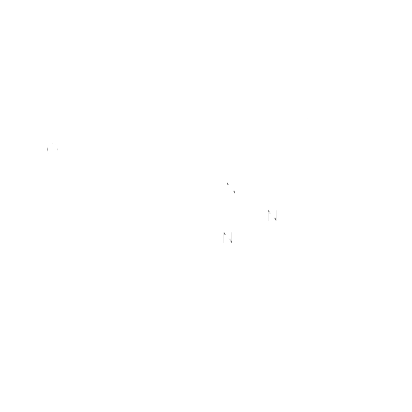 c1ccc(-c2ccc(-c3nc(-c4ccc(-c5cccc6oc7ccccc7c56)cc4)nc(-c4cc5ccccc5c5ccccc45)n3)cc2)cc1